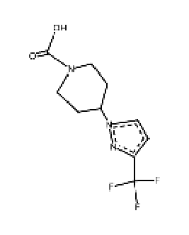 O=C(O)N1CCC(n2ccc(C(F)(F)F)n2)CC1